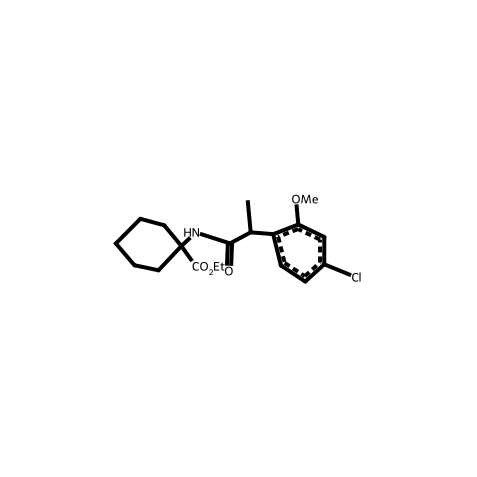 CCOC(=O)C1(NC(=O)C(C)c2ccc(Cl)cc2OC)CCCCC1